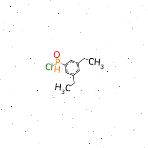 CCc1cc(CC)cc([PH](=O)Cl)c1